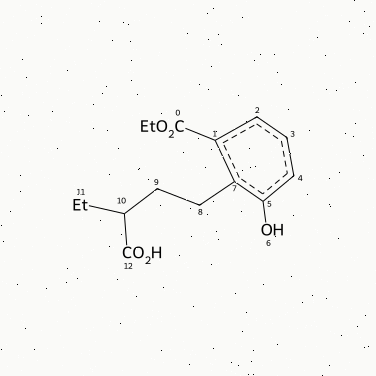 CCOC(=O)c1cccc(O)c1CCC(CC)C(=O)O